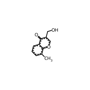 Cc1cccc2c(=O)c(CO)coc12